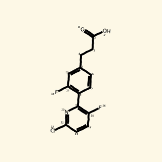 O=C(O)CCc1ccc(-c2nc(Cl)ccc2F)c(F)c1